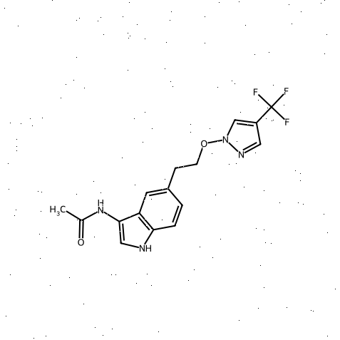 CC(=O)Nc1c[nH]c2ccc(CCOn3cc(C(F)(F)F)cn3)cc12